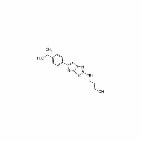 CC(C)c1ccc(-c2cn3nc(NCCCO)sc3n2)cc1